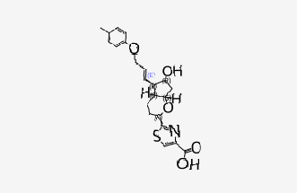 Cc1ccc(OC/C=C/[C@@H]2[C@H]3CC[C@H](c4nc(C(=O)O)cs4)O[C@H]3C[C@H]2O)cc1